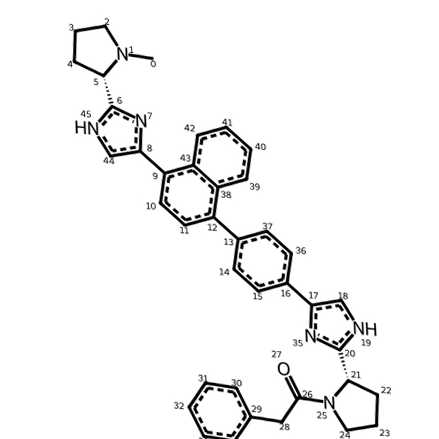 CN1CCC[C@H]1c1nc(-c2ccc(-c3ccc(-c4c[nH]c([C@@H]5CCCN5C(=O)Cc5ccccc5)n4)cc3)c3ccccc23)c[nH]1